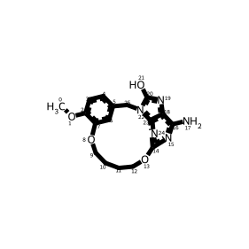 COc1ccc2cc1OCCCCOc1nc(N)c3nc(O)n(c3n1)C2